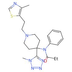 CCC(=O)N(c1ccccc1)C1(c2nnnn2C)CCN(CCc2scnc2C)CC1